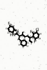 C=C/C(=C\C=C(/C)C(Cc1ccccc1)c1nc2cc(F)ccc2[nH]1)c1c(F)ccc(Cl)c1F